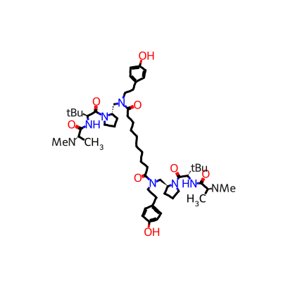 CN[C@@H](C)C(=O)N[C@H](C(=O)N1CCC[C@H]1CN(CCc1ccc(O)cc1)C(=O)CCCCCCCCC(=O)N(CCc1ccc(O)cc1)C[C@@H]1CCCN1C(=O)[C@@H](NC(=O)[C@H](C)NC)C(C)(C)C)C(C)(C)C